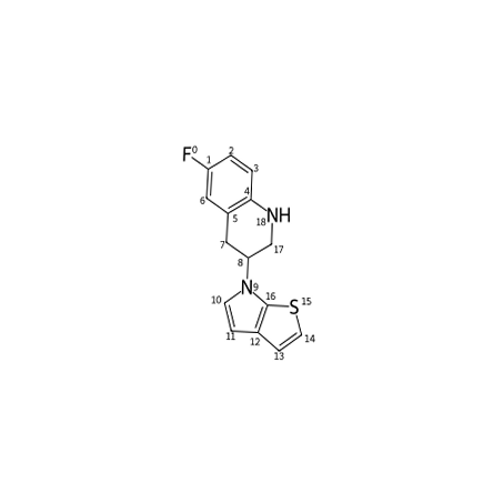 Fc1ccc2c(c1)CC(n1ccc3ccsc31)CN2